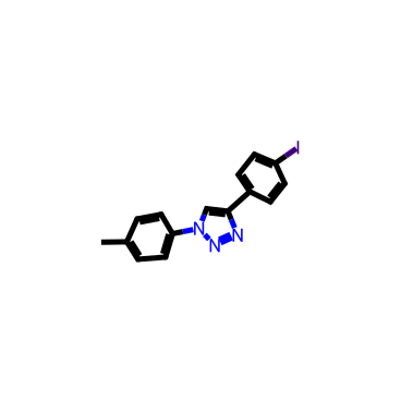 Cc1ccc(-n2cc(-c3ccc(I)cc3)nn2)cc1